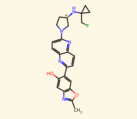 Cc1nc2cc(O)c(-c3ccc4nc(N5CC[C@@H](NC6(CF)CC6)C5)ccc4n3)cc2o1